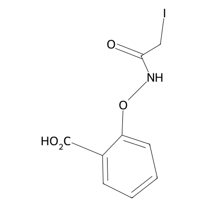 O=C(CI)NOc1ccccc1C(=O)O